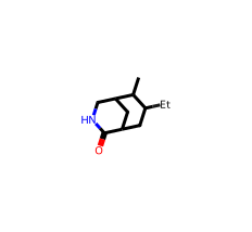 CCC1CC2CC(CNC2=O)C1C